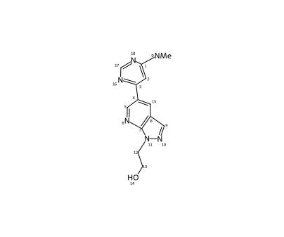 CNc1cc(-c2cnc3c(cnn3CCO)c2)ncn1